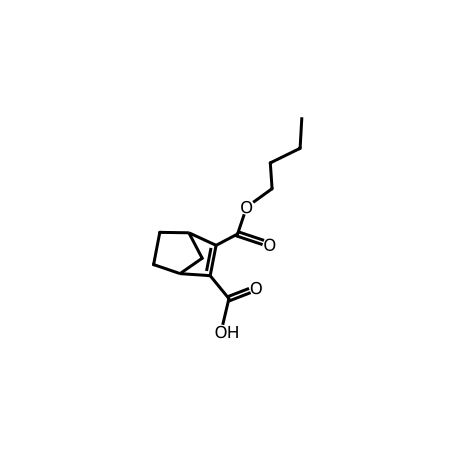 CCCCOC(=O)C1=C(C(=O)O)C2CCC1C2